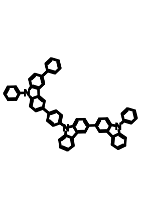 c1ccc(-c2ccc3c(c2)c2cc(-c4ccc(-n5c6ccccc6c6cc(-c7ccc8c(c7)c7ccccc7n8-c7ccccc7)ccc65)cc4)ccc2n3-c2ccccc2)cc1